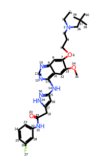 [CH2]CN(CCCOc1cc2ncnc(Nc3cc(CC(=O)Nc4cccc(F)c4)[nH]n3)c2cc1OC)CC(C)(C)C